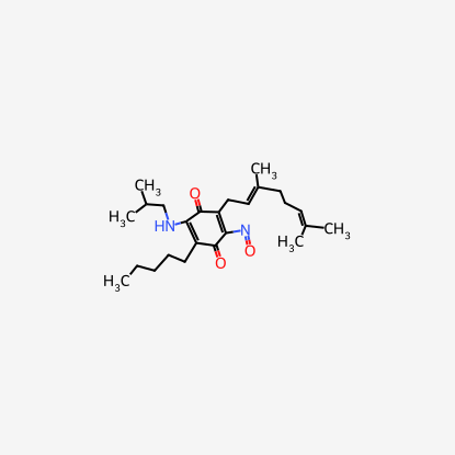 CCCCCC1=C(NCC(C)C)C(=O)C(C/C=C(\C)CCC=C(C)C)=C(N=O)C1=O